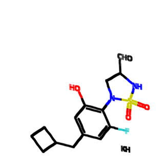 O=CC1CN(c2c(O)cc(CC3CCC3)cc2F)S(=O)(=O)N1.[KH]